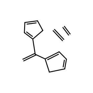 C=C.C=C.C=C(C1=CC=CC1)C1=CC=CC1